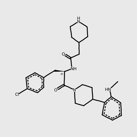 CNc1ccccc1C1CCN(C(=O)[C@@H](Cc2ccc(Cl)cc2)NC(=O)CC2CCNCC2)CC1